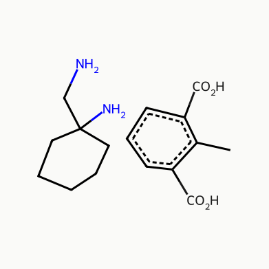 Cc1c(C(=O)O)cccc1C(=O)O.NCC1(N)CCCCC1